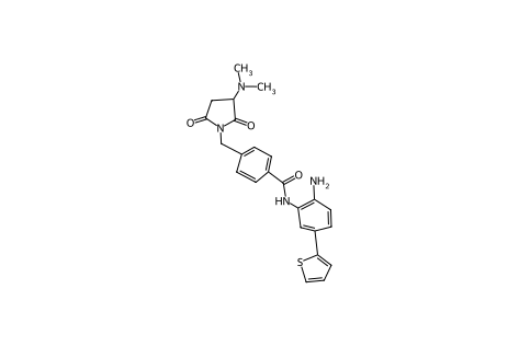 CN(C)C1CC(=O)N(Cc2ccc(C(=O)Nc3cc(-c4cccs4)ccc3N)cc2)C1=O